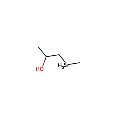 C[SiH2]CC(C)O